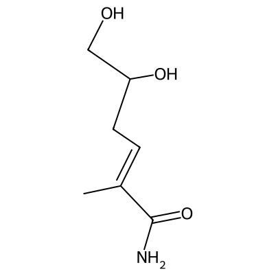 C/C(=C\CC(O)CO)C(N)=O